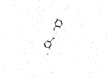 Cc1ccc(O)c(/C=N/NC(=O)c2cccc(OC(F)F)c2)c1